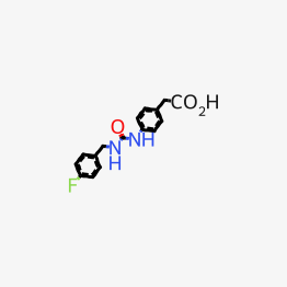 O=C(O)Cc1ccc(NC(=O)NCc2ccc(F)cc2)cc1